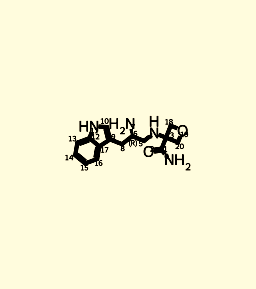 NC(=O)C1(NC[C@H](N)Cc2c[nH]c3ccccc23)COC1